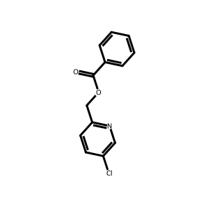 O=C(OCc1ccc(Cl)cn1)c1ccccc1